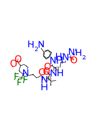 COC(=O)C1CCN(CCCC(=O)N[C@H](C(=O)N[C@@H](CCCNC(N)=O)C(=O)Nc2ccc(CN)cc2)C(C)C)C(C(F)(F)F)C1